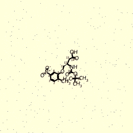 Cc1ccc([N+](=O)[O-])cc1OC[C@@H](CC(=O)O)NC(=O)OC(C)(C)C